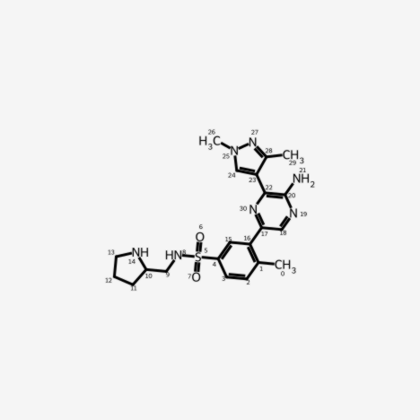 Cc1ccc(S(=O)(=O)NCC2CCCN2)cc1-c1cnc(N)c(-c2cn(C)nc2C)n1